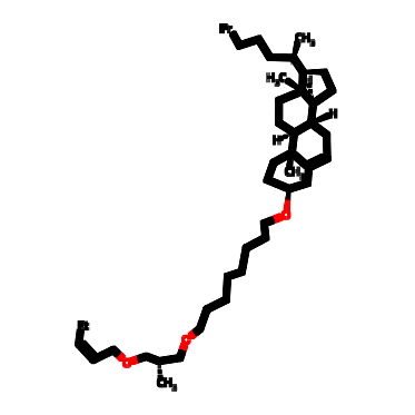 CC/C=C\COC[C@@H](C)COCCCCCCCCO[C@H]1CC[C@@]2(C)C(=CC[C@H]3[C@@H]4CC[C@H]([C@H](C)CCCC(C)C)[C@@]4(C)CC[C@@H]32)C1